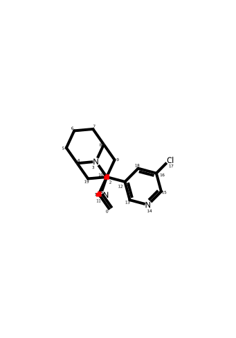 C=CCN1C2CCCC1CC(C#N)(c1cncc(Cl)c1)C2